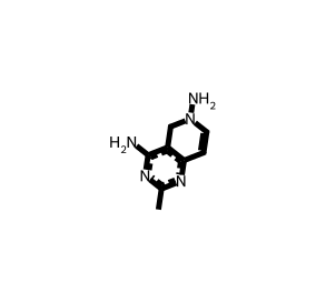 Cc1nc(N)c2c(n1)C=CN(N)C2